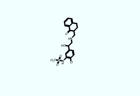 CS(=O)(=O)Nc1cc(C(O)CNCC2CCc3ccccc3C2=O)ccc1Cl